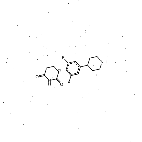 O=C1CC[C@H](c2c(F)cc(C3CCNCC3)cc2F)C(=O)N1